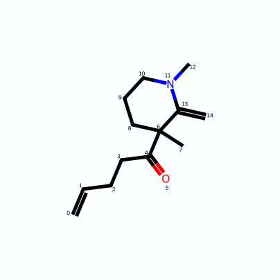 C=CCCC(=O)C1(C)CCCN(C)C1=C